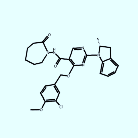 COc1ccc(COc2nc(N3c4ccccc4C[C@H]3C)ncc2C(=O)NN2CCCCCC2=O)cc1Cl